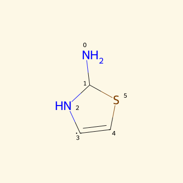 NC1N[C]=CS1